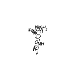 CC(C)n1nc(-c2ccc(CC(=O)Nc3cc(C4CC4)no3)cc2)c(C(N)=O)c1N